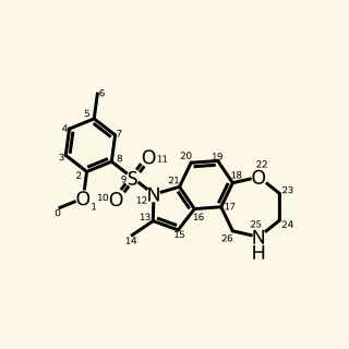 COc1ccc(C)cc1S(=O)(=O)n1c(C)cc2c3c(ccc21)OCCNC3